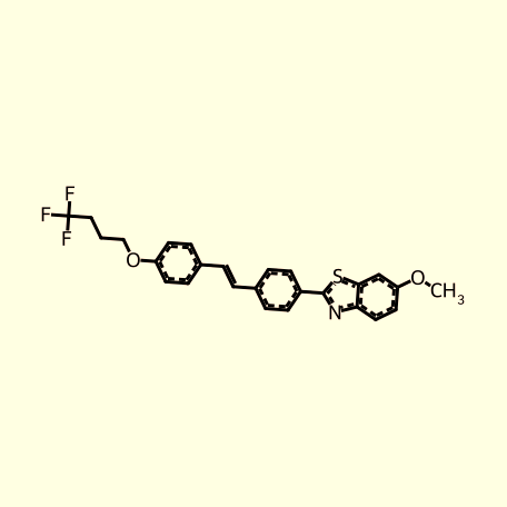 COc1ccc2nc(-c3ccc(C=Cc4ccc(OCCCC(F)(F)F)cc4)cc3)sc2c1